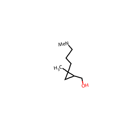 CNCCCC1(C)CC1CO